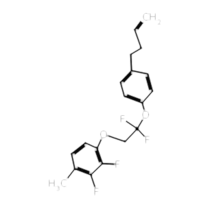 C=CCCc1ccc(OC(F)(F)COc2ccc(C)c(F)c2F)cc1